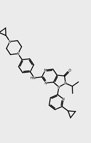 CC(C)n1c(=O)c2cnc(Nc3ccc(N4CCN(C5CC5)CC4)cc3)nc2n1-c1cccc(C2CC2)n1